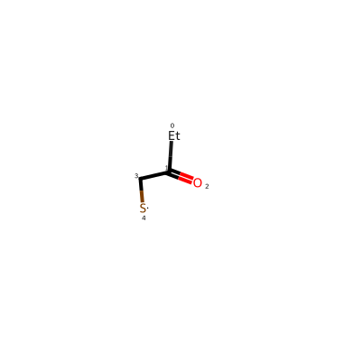 CCC(=O)C[S]